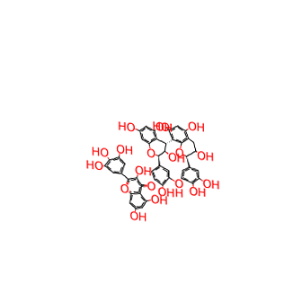 O=c1c(O)c(-c2cc(O)c(O)c(O)c2)oc2cc(O)cc(O)c12.Oc1cc(O)c2c(c1)O[C@H](c1ccc(O)c(O)c1)[C@H](O)[C@H]2c1c(O)cc(O)c2c1O[C@H](c1ccc(O)c(O)c1)[C@H](O)C2